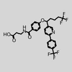 O=C(O)CCNC(=O)c1ccc(OC(CCCC(F)(F)F)c2ccc(-c3ccc(C(F)(F)F)cc3)nc2)cc1